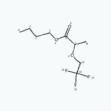 CCCCOC(=O)C(C)OCC(F)(F)F